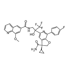 COc1cc(C(=O)NCC(O)(c2cc3c(c(-c4ccc(F)cc4)n2)OC[C@@]3(C(N)=O)C2CC2)C(F)(F)F)cc2cccnc12